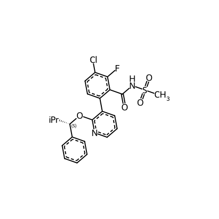 CC(C)[C@H](Oc1ncccc1-c1ccc(Cl)c(F)c1C(=O)NS(C)(=O)=O)c1ccccc1